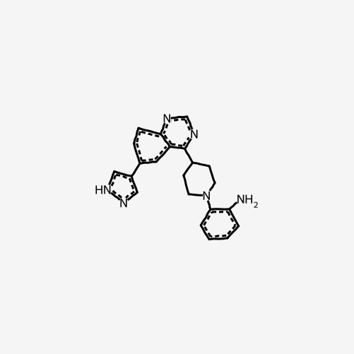 Nc1ccccc1N1CCC(c2ncnc3ccc(-c4cn[nH]c4)cc23)CC1